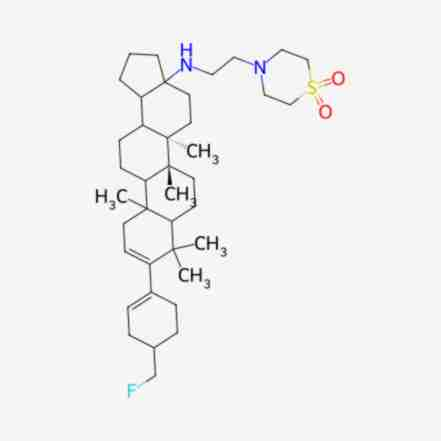 CC1(C)C(C2=CCC(CF)CC2)=CCC2(C)C1CC[C@]1(C)C2CCC2C3CCCC3(NCCN3CCS(=O)(=O)CC3)CC[C@]21C